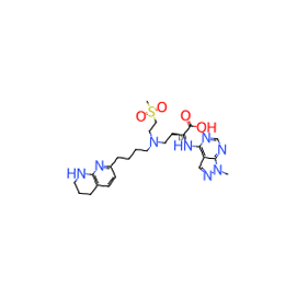 Cn1ncc2c(N[C@@H](CCN(CCCCc3ccc4c(n3)NCCC4)CCS(C)(=O)=O)C(=O)O)ncnc21